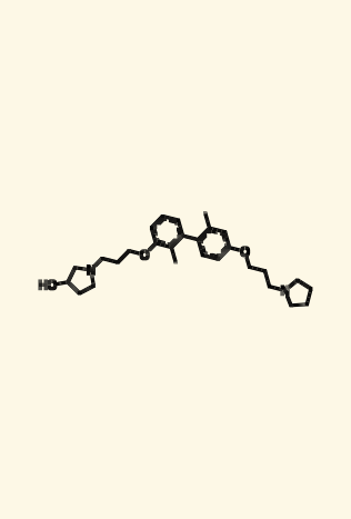 Cc1cc(OCCCN2CCCC2)ccc1-c1cccc(OCCCN2CCC(O)C2)c1C